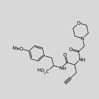 C#CCC(NC(=O)CN1CCOCC1)C(=O)NC(Cc1ccc(OC)cc1)C(=O)O